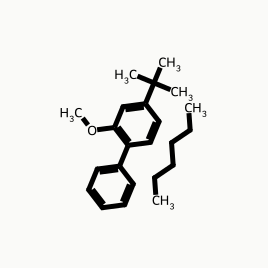 CCCCCC.COc1cc(C(C)(C)C)ccc1-c1ccccc1